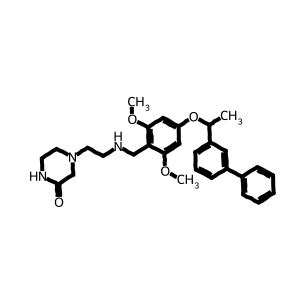 COc1cc(OC(C)c2cccc(-c3ccccc3)c2)cc(OC)c1CNCCN1CCNC(=O)C1